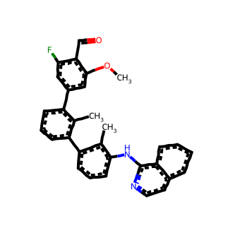 COc1cc(-c2cccc(-c3cccc(Nc4nccc5ccccc45)c3C)c2C)cc(F)c1C=O